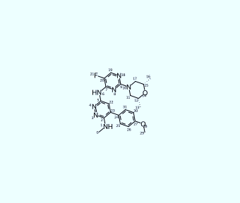 CNc1nnc(Nc2nc(N3C[C@@H](C)O[C@@H](C)C3)ncc2F)cc1-c1ccc(OC)cc1